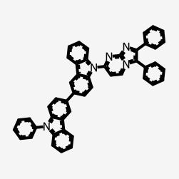 c1ccc(-c2nc3nc(-n4c5ccccc5c5cc(-c6ccc7c(c6)c6ccccc6n7-c6ccccc6)ccc54)ccn3c2-c2ccccc2)cc1